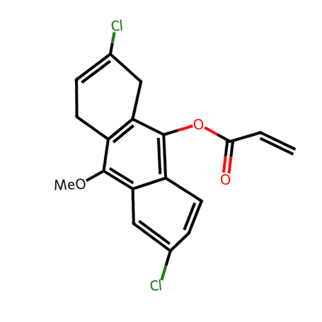 C=CC(=O)Oc1c2c(c(OC)c3cc(Cl)ccc13)CC=C(Cl)C2